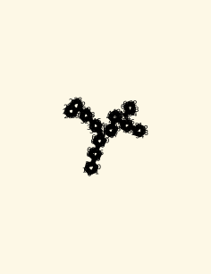 c1ccc(-c2ccc(-c3ccc(N(c4ccc(-c5ccc(-c6cccc7ccccc67)cc5)cc4)c4cccc(-c5cccc6c5c5ccc(-c7ccccc7)cc5n6-c5ccccc5)c4)cc3)cc2)cc1